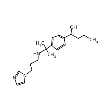 CCCC(O)c1ccc(C(C)(C)NCCCn2ccnc2)cc1